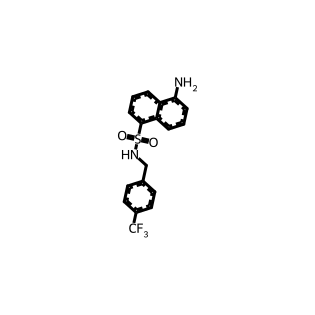 Nc1cccc2c(S(=O)(=O)NCc3ccc(C(F)(F)F)cc3)cccc12